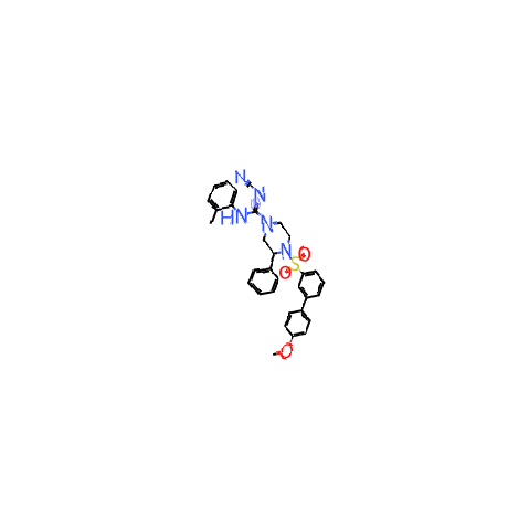 COc1ccc(-c2cccc(S(=O)(=O)N3CCN(/C(=N/C#N)Nc4ccccc4C)CC3c3ccccc3)c2)cc1